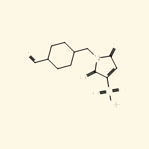 O=[C]C1CCC(CN2C(=O)C=C(S(=O)(=O)O)C2=O)CC1